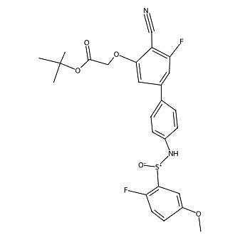 COc1ccc(F)c([S+]([O-])Nc2ccc(-c3cc(F)c(C#N)c(OCC(=O)OC(C)(C)C)c3)cc2)c1